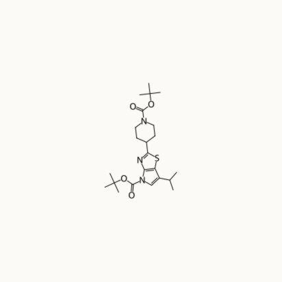 CC(C)c1cn(C(=O)OC(C)(C)C)c2nc(C3CCN(C(=O)OC(C)(C)C)CC3)sc12